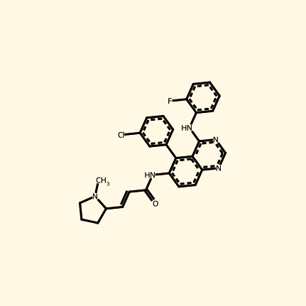 CN1CCCC1/C=C/C(=O)Nc1ccc2ncnc(Nc3ccccc3F)c2c1-c1cccc(Cl)c1